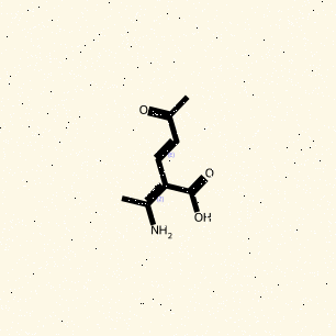 CC(=O)/C=C/C(C(=O)O)=C(\C)N